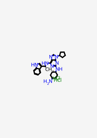 CC(Nc1nc(NC2CCC(N)CC2)nc2c1ncn2C1CCCC1)c1c[nH]c2ccccc12.Cl.Cl